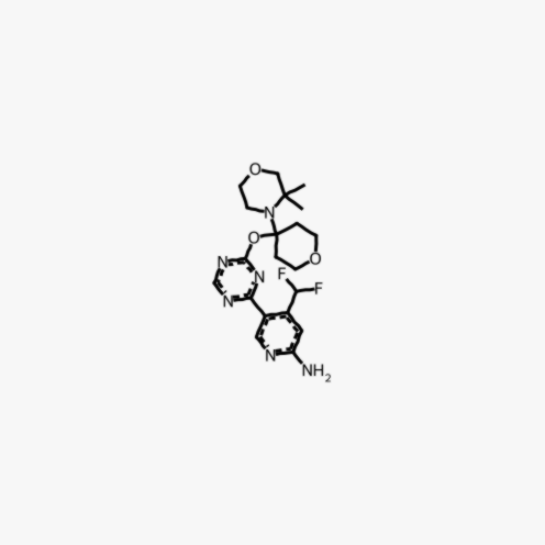 CC1(C)COCCN1C1(Oc2ncnc(-c3cnc(N)cc3C(F)F)n2)CCOCC1